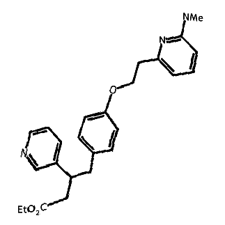 CCOC(=O)CC(Cc1ccc(OCCc2cccc(NC)n2)cc1)c1cccnc1